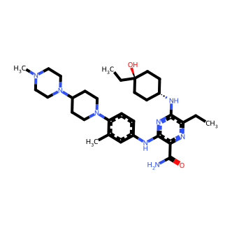 CCc1nc(C(N)=O)c(Nc2ccc(N3CCC(N4CCN(C)CC4)CC3)c(C)c2)nc1N[C@H]1CC[C@@](O)(CC)CC1